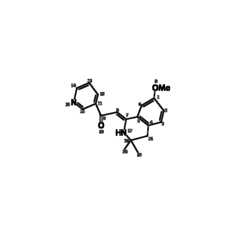 COc1ccc2c(c1)/C(=C/C(=O)c1cccnc1)NC(C)(C)C2